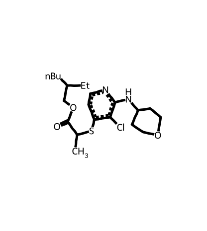 CCCCC(CC)COC(=O)C(C)Sc1ccnc(NC2CCOCC2)c1Cl